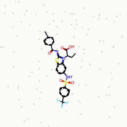 CCC(C(=O)O)n1c(=NC(=O)c2ccc(C)cc2)sc2ccc(NS(=O)(=O)c3ccc(C(F)(F)F)cc3)cc21